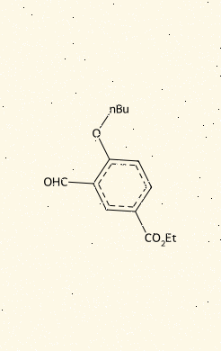 CCCCOc1ccc(C(=O)OCC)cc1C=O